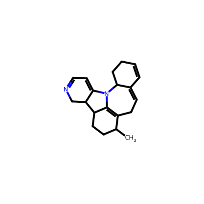 CC1CCC2C3=C1CC=C1C=CCCC1N3C1=CC=NCC12